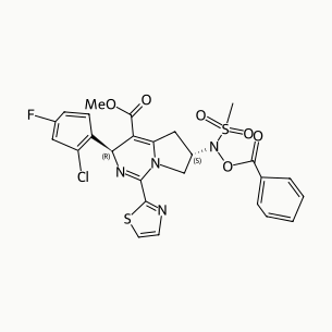 COC(=O)C1=C2C[C@H](N(OC(=O)c3ccccc3)S(C)(=O)=O)CN2C(c2nccs2)=N[C@H]1c1ccc(F)cc1Cl